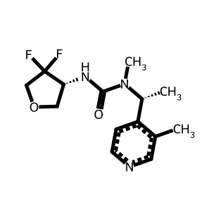 Cc1cnccc1[C@@H](C)N(C)C(=O)N[C@@H]1COCC1(F)F